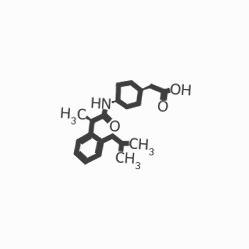 CC(C)Cc1ccccc1[C@@H](C)C(=O)N[C@H]1CC[C@H](CC(=O)O)CC1